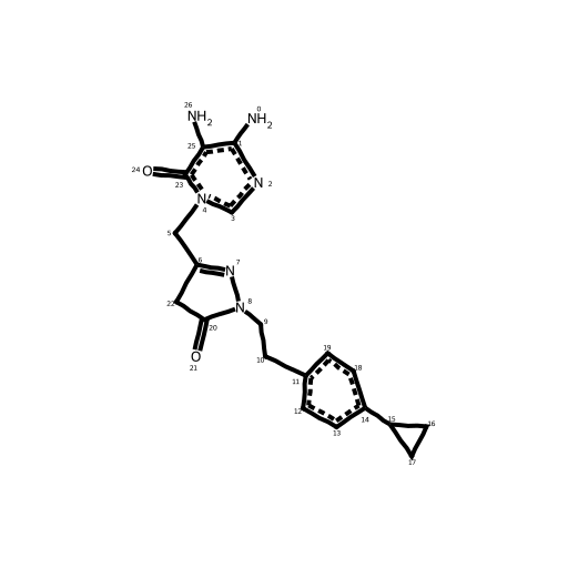 Nc1ncn(CC2=NN(CCc3ccc(C4CC4)cc3)C(=O)C2)c(=O)c1N